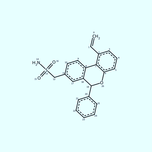 C=Cc1cccc2c1-c1ccc(CS(N)(=O)=O)cc1C(c1ccccc1)O2